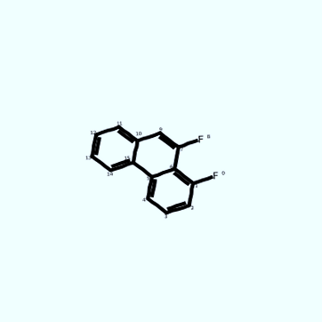 Fc1cccc2c1c(F)cc1ccccc12